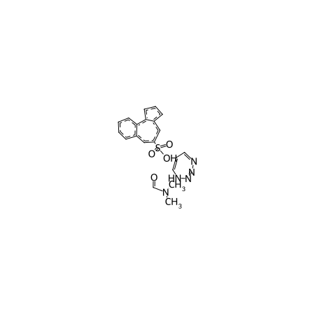 C1=CNN=NN=C1.CN(C)C=O.O=S(=O)(O)c1cc2cccc-2c2ccccc2c1